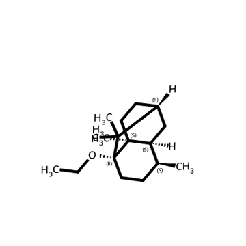 CCO[C@@]12CC[C@H](C)[C@@H]3C[C@@H](CC[C@@]31C)C2(C)C